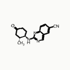 C[C@@H]1CC(=O)CC[C@H]1Nc1ncc2cc(C#N)ccc2n1